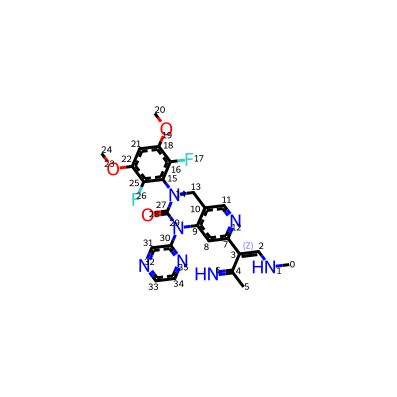 CN/C=C(\C(C)=N)c1cc2c(cn1)CN(c1c(F)c(OC)cc(OC)c1F)C(=O)N2c1cnccn1